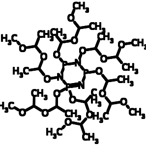 COC(C)OC(C)ON1P(OC(C)OC(C)OC)N=P(OC(C)OC(C)OC)(OC(C)OC(C)OC)N(OC(C)OC(C)OC)P1OC(C)OC(C)OC